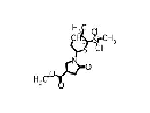 CCC(SC(CC)[Si](C)(Cl)Cl)N1CC(C(=O)OC)CC1=O